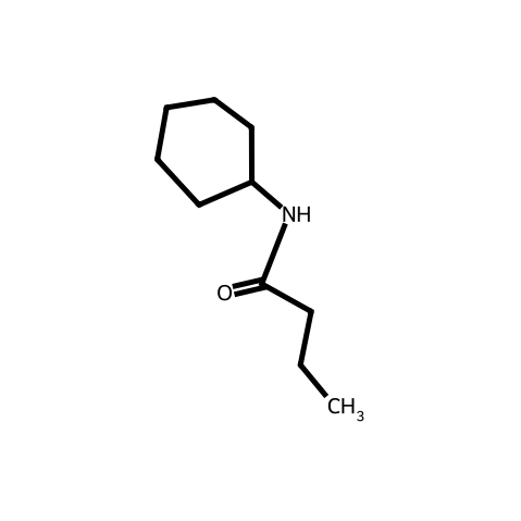 CCCC(=O)NC1CCCCC1